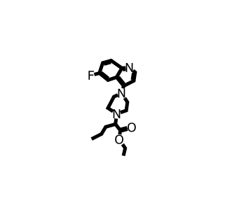 CCCC(C(=O)OCC)N1CCN(c2ccnc3ccc(F)cc23)CC1